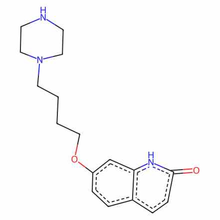 O=c1ccc2ccc(OCCCCN3CCNCC3)cc2[nH]1